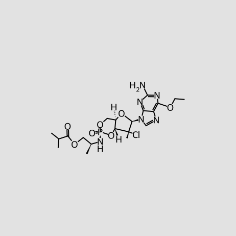 CCOc1nc(N)nc2c1ncn2[C@@H]1O[C@@H]2CO[P@](=O)(N[C@@H](C)COC(=O)C(C)C)O[C@H]2[C@@]1(C)Cl